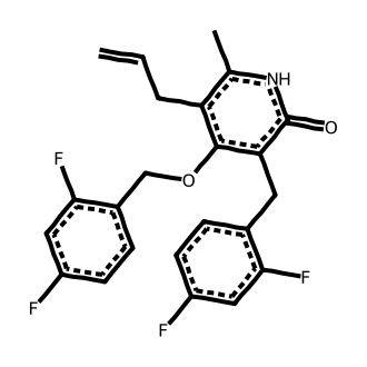 C=CCc1c(C)[nH]c(=O)c(Cc2ccc(F)cc2F)c1OCc1ccc(F)cc1F